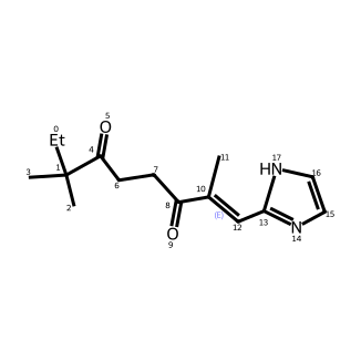 CCC(C)(C)C(=O)CCC(=O)/C(C)=C/c1ncc[nH]1